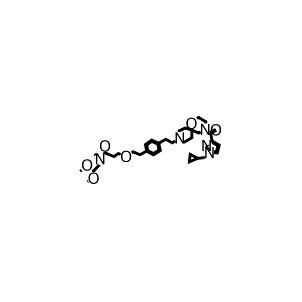 COC(CN(C)C(=O)CCOCCc1ccc(CCN2CCC3(CC2)CN(C(=O)c2ccn(CC4CC4)n2)CCO3)cc1)OC